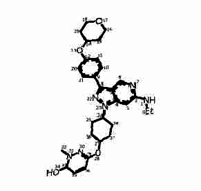 CCNc1cc2c(cn1)c(-c1ccc(OC3CCOCC3)cc1)nn2C1CCC(OC2=NN(C)C(O)C=C2)CC1